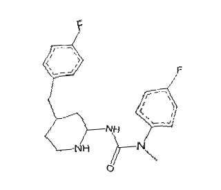 CN(C(=O)NC1CC(Cc2ccc(F)cc2)CCN1)c1ccc(F)cc1